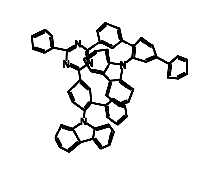 c1ccc(-c2ccc(-c3cccc(-c4nc(-c5ccccc5)nc(-c5ccc(-n6c7ccccc7c7ccccc76)c(-c6ccccc6)c5)n4)c3)c(-n3c4ccccc4c4ccccc43)c2)cc1